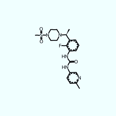 Cc1ccc(NC(=O)Nc2cccc([C@H](C)N3CCN(S(C)(=O)=O)CC3)c2F)cn1